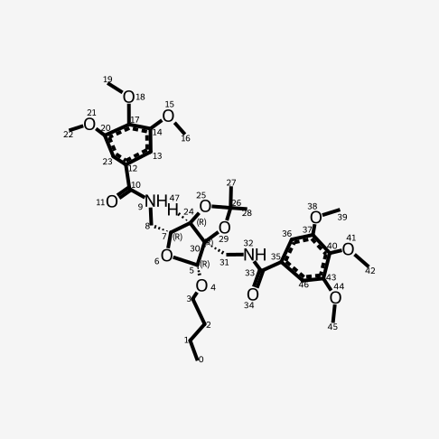 CCCCO[C@@H]1O[C@H](CNC(=O)c2cc(OC)c(OC)c(OC)c2)[C@H]2OC(C)(C)O[C@@]12CNC(=O)c1cc(OC)c(OC)c(OC)c1